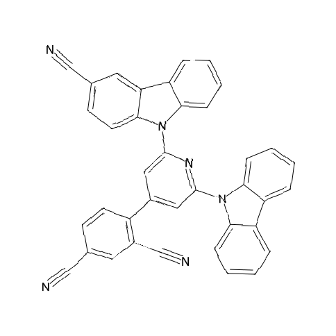 N#Cc1ccc(-c2cc(-n3c4ccccc4c4ccccc43)nc(-n3c4ccccc4c4cc(C#N)ccc43)c2)c(C#N)c1